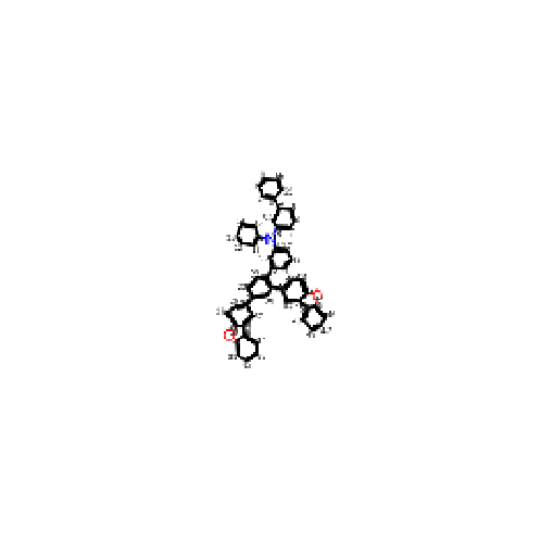 c1ccc(-c2cccc(N(c3ccccc3)c3cccc(-c4ccc(-c5ccc6oc7ccccc7c6c5)cc4-c4ccc5oc6ccccc6c5c4)c3)c2)cc1